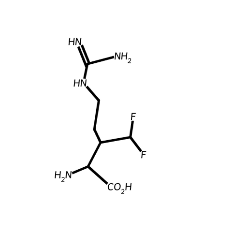 N=C(N)NCCC(C(F)F)C(N)C(=O)O